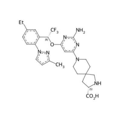 CCc1ccc(-n2ccc(C)n2)c([C@@H](Oc2cc(N3CCC4(CC3)CN[C@H](C(=O)O)C4)nc(N)n2)C(F)(F)F)c1